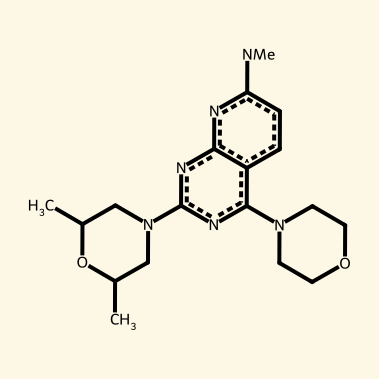 CNc1ccc2c(N3CCOCC3)nc(N3CC(C)OC(C)C3)nc2n1